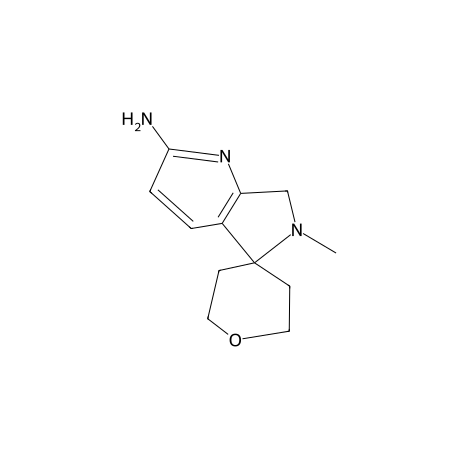 CN1Cc2nc(N)ccc2C12CCOCC2